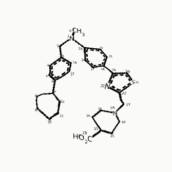 CN(Cc1ccc(C2CCCCC2)cc1)c1ccc(-c2csc(CN3CCC(C(=O)O)CC3)n2)cc1